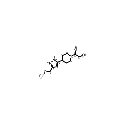 COCc1[c]c(C2CCN(C(=O)CO)CC2)[nH]n1